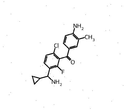 Cc1cc(C(=O)c2c(Cl)ccc(C(N)C3CC3)c2F)ccc1N